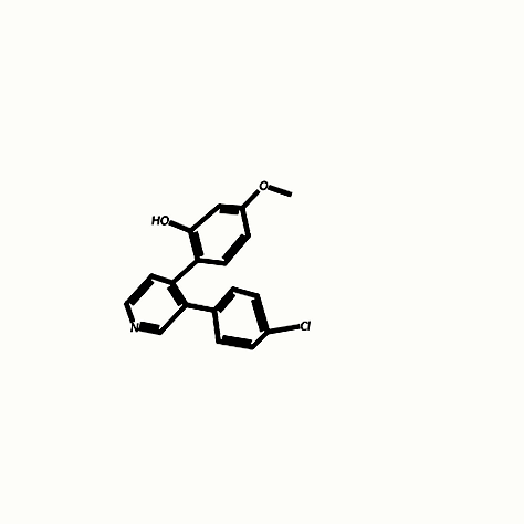 COc1ccc(-c2ccncc2-c2ccc(Cl)cc2)c(O)c1